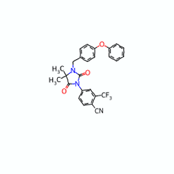 CC1(C)C(=O)N(c2ccc(C#N)c(C(F)(F)F)c2)C(=O)N1Cc1ccc(Oc2ccccc2)cc1